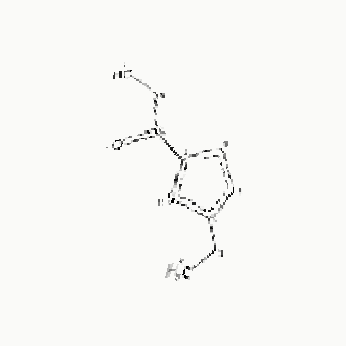 CCc1ccc(C(=O)CO)s1